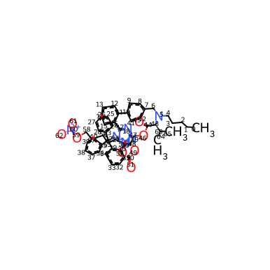 CCCCCN(Cc1ccc(-c2ccccc2-c2nnnn2C(c2ccccc2)(c2ccccc2)c2ccccc2)cc1)[C@H](C(=O)OCc1oc(=O)oc1CCCCCO[N+](=O)[O-])C(C)C